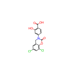 O=C(O)c1ccc(N2Cc3cc(Cl)cc(Cl)c3OC2=O)cc1O